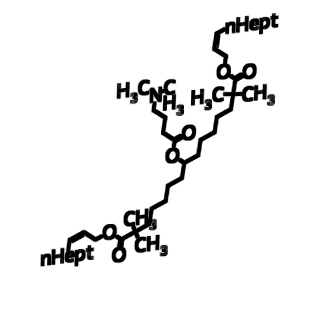 CCCCCCC/C=C\COC(=O)C(C)(C)CCCCCC(CCCCCC(C)(C)C(=O)OC/C=C\CCCCCCC)OC(=O)CCCN(C)C